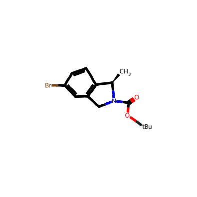 C[C@@H]1c2ccc(Br)cc2CN1C(=O)OC(C)(C)C